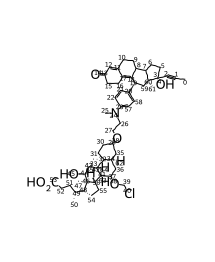 CC#C[C@@]1(O)CCC2C3CCC4=CC(=O)CCC4=C3[C@H](c3ccc(N(C)CCO[C@H]4CC[C@@]5(C)[C@@H](C4)C[C@@H](OCCl)[C@@H]4[C@@H]5C[C@H](O)[C@]5(C)[C@@H]([C@H](C)CCC(=O)O)CC[C@@H]45)cc3)C[C@@]21C